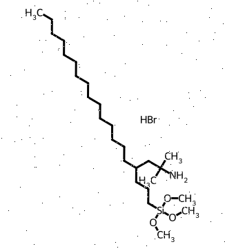 Br.CCCCCCCCCCCCCCCC(CCC[Si](OC)(OC)OC)CC(C)(C)N